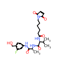 CC(C)[C@H](NC(=O)CCCCCN1C(=O)C=CC1=O)C(=O)N[C@@H](C)C(=O)Nc1ccc(CO)c(F)c1